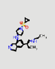 C=C/C(=C\NCCC)c1cc(NC2CCN(S(=O)(=O)C3CC3)CC2)c2cnccc2c1